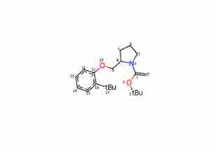 C=C(OC(C)(C)C)N1CCCC1COc1ccccc1C(C)(C)C